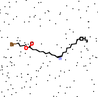 CCCCCCCC/C=C\CCCCCCCCC(=O)OCCCBr